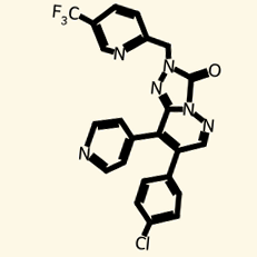 O=c1n(Cc2ccc(C(F)(F)F)cn2)nc2c(-c3ccncc3)c(-c3ccc(Cl)cc3)cnn12